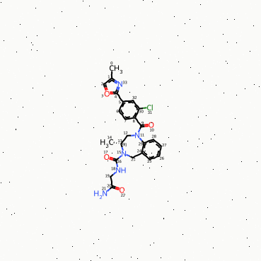 Cc1coc(-c2ccc(C(=O)N3C[C@@H](C)N(C(=O)NCC(N)=O)Cc4ccccc43)c(Cl)c2)n1